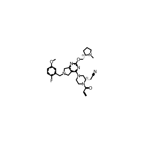 C=CC(=O)N1CCN(c2nc(OC[C@@H]3CCCN3C)nc3c2CN(Cc2cc(OC)ccc2F)C3)C[C@@H]1CC#N